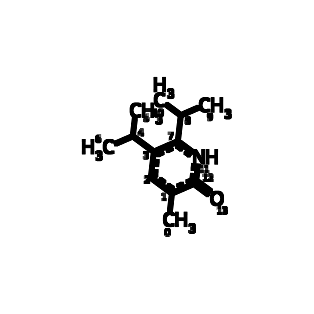 Cc1cc(C(C)C)c(C(C)C)[nH]c1=O